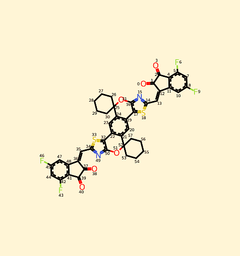 O=C1C(=O)c2c(F)cc(F)cc2/C1=C/c1nc2c(s1)-c1cc3c(cc1C1(CCCCC1)O2)-c1sc(/C=C2\C(=O)C(=O)c4c(F)cc(F)cc42)nc1OC31CCCCC1